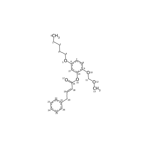 CCCCCOc1ccc(OCOC)c(OC(=O)C=CCc2ccccc2)c1